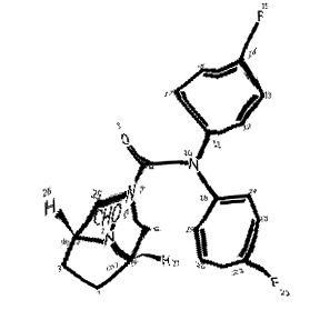 O=CN1[C@@H]2CC[C@H]1CN(C(=O)N(c1ccc(F)cc1)c1ccc(F)cc1)C2